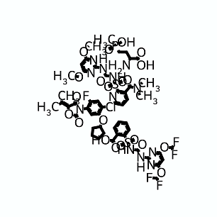 CC(C)=C1OC(=O)N(c2cc(OC3CCCC3)c(Cl)cc2F)C1=O.COc1cc(OC)nc(NC(=O)NS(=O)(=O)c2ncccc2C(=O)N(C)C)n1.CP(=O)(O)CCC(N)C(=O)O.O=C(Nc1nc(OC(F)F)cc(OC(F)F)n1)NS(=O)(=O)c1ccccc1C(=O)O